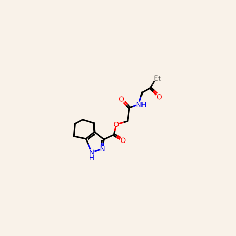 CCC(=O)CNC(=O)COC(=O)c1n[nH]c2c1CCCC2